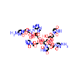 Nc1ccn(C2COC(COP(=O)(O)OC3CC(n4cnc5ncnc(N)c54)OC3COP(=O)(OCC3OCC(n4ccnnc4=O)O3)OC3CC(n4ccc(=O)[nH]c4=O)OC3COP(=O)(OCC3OCC(n4ccc(N)nc4=O)O3)OC3CC(n4ccc(=O)[nH]c4=O)OC3CO)O2)c(=O)n1